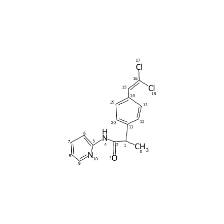 CC(C(=O)Nc1ccccn1)c1ccc(C=C(Cl)Cl)cc1